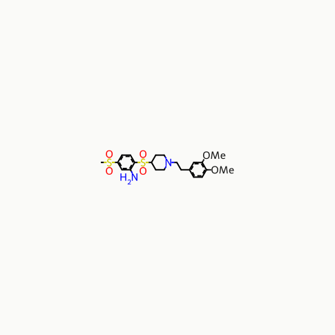 COc1ccc(CCN2CCC(S(=O)(=O)c3ccc(S(C)(=O)=O)cc3N)CC2)cc1OC